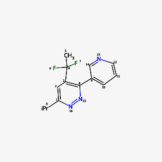 CC(C)c1cc(C(C)(F)F)c(-c2cccnc2)nn1